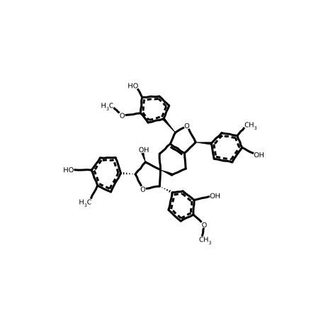 COc1ccc([C@@H]2O[C@H](c3ccc(O)c(C)c3)[C@@H](O)[C@@]23CCC2=C(C3)[C@@H](c3ccc(O)c(OC)c3)O[C@H]2c2ccc(O)c(C)c2)cc1O